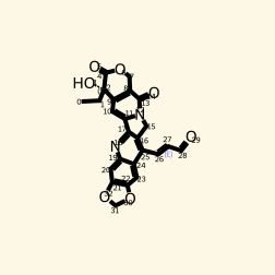 CC[C@@]1(O)C(=O)OCc2c1cc1n(c2=O)Cc2c-1nc1cc3c(cc1c2/C=C/C=O)OCO3